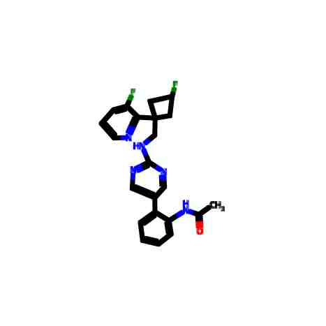 CC(=O)Nc1ccccc1-c1cnc(NCC2(c3ncccc3F)CC(F)C2)nc1